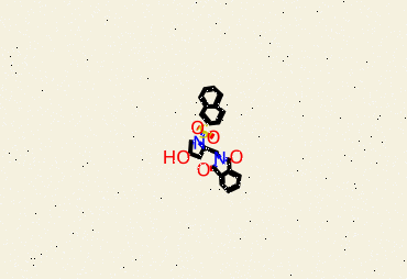 O=C1c2ccccc2C(=O)N1CC1CC(O)CN1S(=O)(=O)c1ccc2ccccc2c1